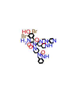 NC(=O)[C@@H](Cc1cc(Br)c(O)c(Br)c1)N(C(=O)N1CCC(N2Cc3ccccc3NC2=O)CC1)[C@H](CC1CCNCC1)C(=O)N1CCN(c2ccncc2)CC1